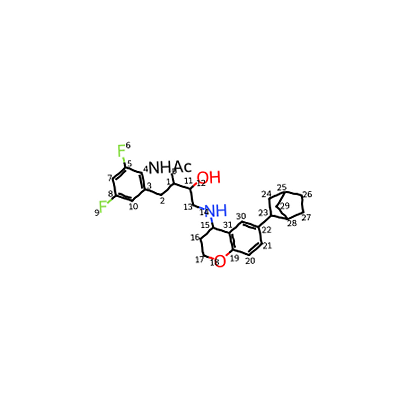 CC(=O)NC(Cc1cc(F)cc(F)c1)C(O)CNC1CCOc2ccc(C3CC4CCC3C4)cc21